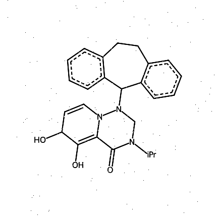 CC(C)N1CN(C2c3ccccc3CCc3ccccc32)N2C=CC(O)C(O)=C2C1=O